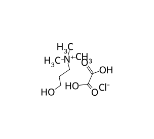 C[N+](C)(C)CCCO.O=C(O)C(=O)O.[Cl-]